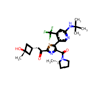 C[C@H]1CCCN1C(=O)c1nc(C(=O)C[C@H]2C[C@@](C)(O)C2)sc1-c1cnc(NC(C)(C)C)cc1C(F)(F)F